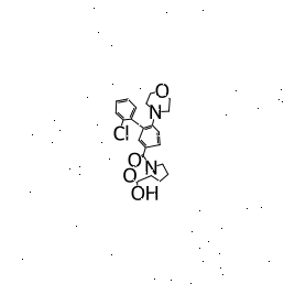 O=C(O)C1CCCN1C(=O)c1ccc(N2CCOCC2)c(-c2ccccc2Cl)c1